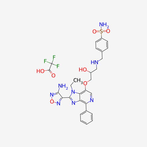 CCn1c(-c2nonc2N)nc2c(-c3ccccc3)ncc(OCC(O)CNCc3ccc(S(N)(=O)=O)cc3)c21.O=C(O)C(F)(F)F